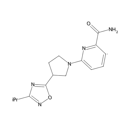 CC(C)c1noc(C2CCN(c3cc[c]c(C(N)=O)n3)C2)n1